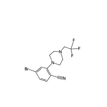 N#Cc1ccc(Br)cc1N1CCN(CC(F)(F)F)CC1